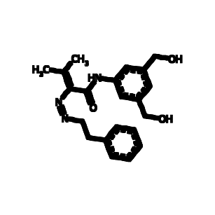 CC(C)=C(/N=N\CCc1ccccc1)C(=O)Nc1cc(CO)cc(CO)c1